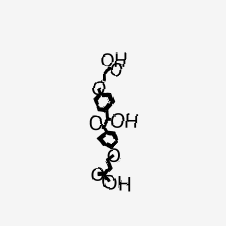 O=C(O)CCOc1ccc(C(=O)C(O)c2ccc(OCCC(=O)O)cc2)cc1